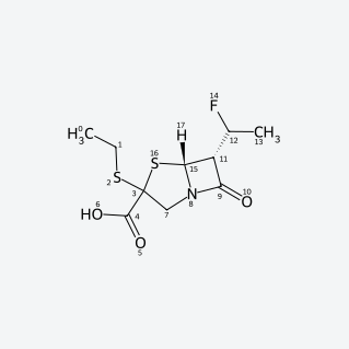 CCSC1(C(=O)O)CN2C(=O)[C@@H](C(C)F)[C@H]2S1